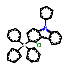 Clc1c([Si](c2ccccc2)(c2ccccc2)c2ccccc2)ccc2c1c1ccccc1n2-c1ccccc1